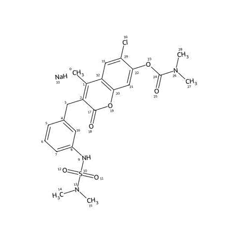 Cc1c(Cc2cccc(NS(=O)(=O)N(C)C)c2)c(=O)oc2cc(OC(=O)N(C)C)c(Cl)cc12.[NaH]